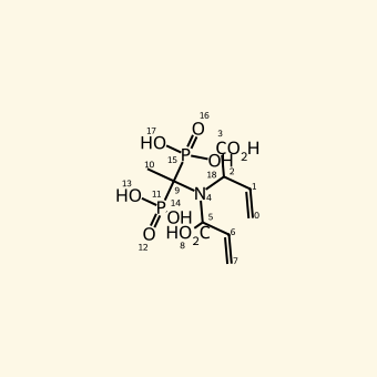 C=CC(C(=O)O)N(C(C=C)C(=O)O)C(C)(P(=O)(O)O)P(=O)(O)O